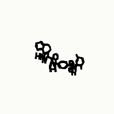 Cc1ccc(C)c(NS(=O)(=O)c2ccc(NC(=O)c3n[nH]c4c3CCc3ccccc3-4)cc2)c1